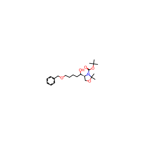 CC(C)(C)OC(=O)N1[C@H](C(O)CCCCOCc2ccccc2)COC1(C)C